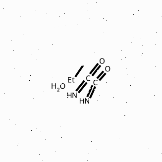 CCC.N=C=O.N=C=O.O